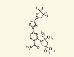 CC1(C)CN(c2nc(-n3ccc(OCC4(C(F)(F)F)CC4)n3)ccc2C(N)=O)C(C)(C)C1